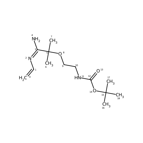 C=C/N=C(/N)C(C)(C)OCCNC(=O)OC(C)(C)C